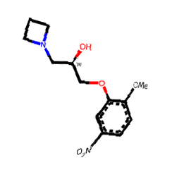 COc1ccc([N+](=O)[O-])cc1OC[C@H](O)CN1CCC1